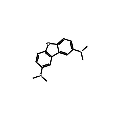 CN(C)c1ccc2[nH]c3ccc(N(C)C)cc3c2c1